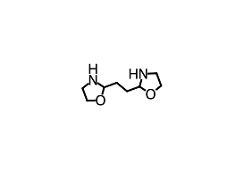 C1COC(CCC2NCCO2)N1